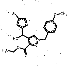 CCOC(=O)c1nn(Cc2ccc(OC)cc2)cc1C(O)c1nc(Br)cs1